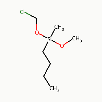 CCCC[Si](C)(OC)OCCl